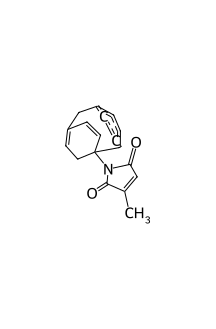 CC1=CC(=O)N(C23C=CC(=CC2)Cc2ccc3cc2)C1=O